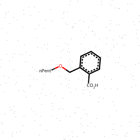 CCCCCOCc1ccccc1C(=O)O